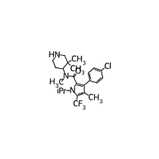 Cc1c(-c2ccc(Cl)cc2)c(C(=O)N(C)C2CCNCC2(C)C)n(C(C)C)c1C(F)(F)F